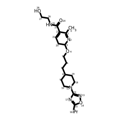 CC1=NC(OCCCC2CCN(c3noc(C(C)C)n3)CC2)CC=C1C(=O)NCCO